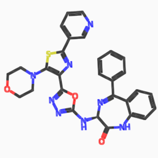 O=C1Nc2ccccc2C(c2ccccc2)=N[C@@H]1Nc1nnc(-c2nc(-c3cccnc3)sc2N2CCOCC2)o1